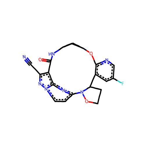 N#Cc1nn2ccc3nc2c1C(=O)NC1CC(C1)Oc1ncc(F)cc1C1CCON31